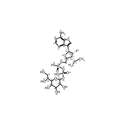 CN(C)[C@H]1[C@@H](F)[C@H](c2coc3c(N)ncnc23)O[C@@H]1COP(=O)(S)OP(=O)(O)OC1OC([C@@H](O)CO)C(O)C(O)C1O